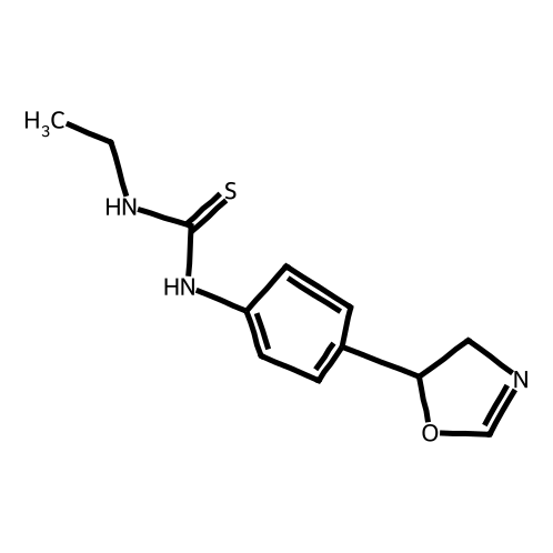 CCNC(=S)Nc1ccc(C2CN=CO2)cc1